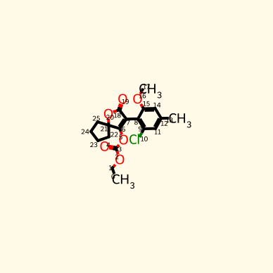 CCOC(=O)OC1=C(c2c(Cl)cc(C)cc2OC)C(=O)OC12CCCC2